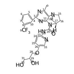 Cc1nc(-c2cccc(C(F)(F)F)c2)nc2c1N1CC[C@@H](C1)N2C(=O)Nc1ccc(OCC(O)CO)cn1